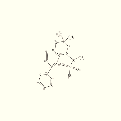 CCS(=O)(=O)N(C)C1CC(C)(C)Oc2ccc(-c3ccccc3)cc21